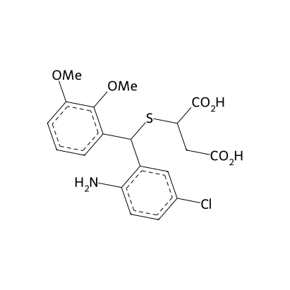 COc1cccc(C(SC(CC(=O)O)C(=O)O)c2cc(Cl)ccc2N)c1OC